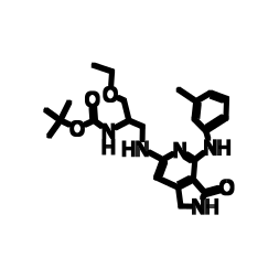 CCOCC(CNc1cc2c(c(Nc3cccc(C)c3)n1)C(=O)NC2)NC(=O)OC(C)(C)C